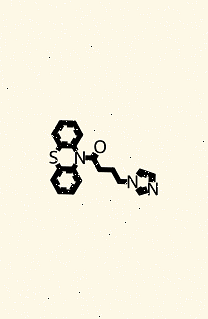 O=C(CCCn1ccnc1)N1c2ccccc2Sc2ccccc21